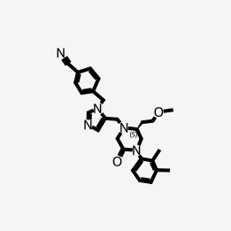 COCC[C@H]1CN(c2cccc(C)c2C)C(=O)CN1Cc1cncn1Cc1ccc(C#N)cc1